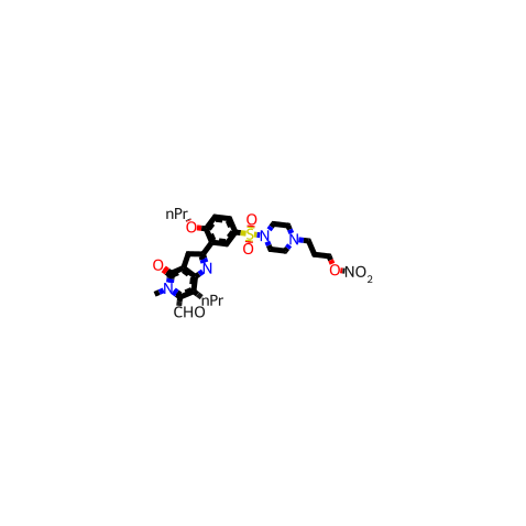 CCCOc1ccc(S(=O)(=O)N2CCN(CCCO[N+](=O)[O-])CC2)cc1C1=Nc2c(CCC)c(C=O)n(C)c(=O)c2C1